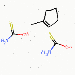 CC1=CCCC1.NC(O)=S.NC(O)=S